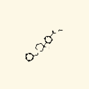 CCOC(=O)c1ccc(C2(N)CCCN(Cc3ccccc3)C2)cc1